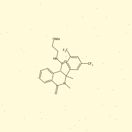 COCCNC(=O)C1c2ccccc2C(=O)N(C)C1(C)c1cc(C(F)(F)F)cc(C(F)(F)F)c1